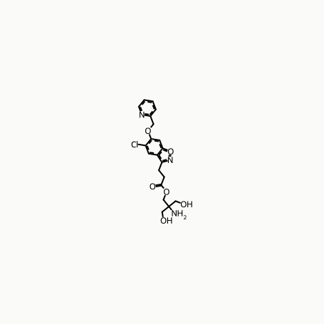 NC(CO)(CO)COC(=O)CCc1noc2cc(OCc3ccccn3)c(Cl)cc12